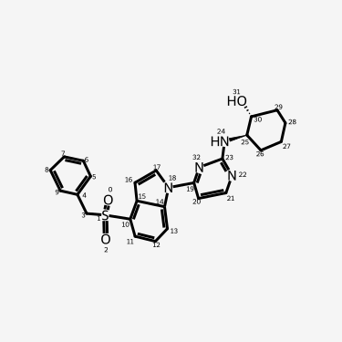 O=S(=O)(Cc1ccccc1)c1cccc2c1ccn2-c1ccnc(N[C@@H]2CCCC[C@H]2O)n1